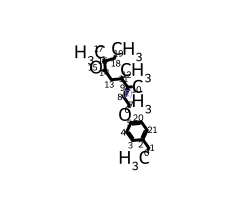 CCc1ccc(OC/C=C(\C)C(C)CC2OC2(C)CC)cc1